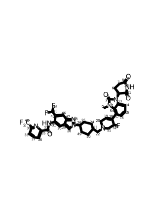 Cn1c(=O)n(C2CCC(=O)NC2=O)c2cccc(C3=CCN(CC4CCC(n5cc6cc(NC(=O)c7cccc(C(F)(F)F)n7)c(C(F)F)cc6n5)CC4)CC3F)c21